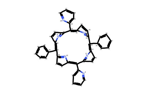 C1=CC2=C(c3ccccn3)C3=NC(=C(c4ccccc4)C4=NC(=C(c5ccccn5)C5=NC(=C(c6ccccc6)C1=N2)C=C5)C=C4)C=C3